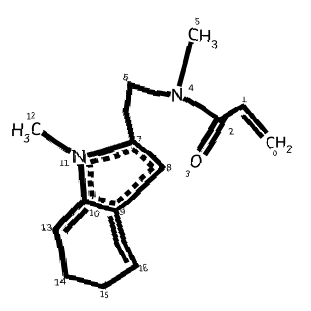 C=CC(=O)N(C)Cc1cc2c(n1C)=CCCC=2